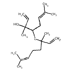 C=CC(C)(CCC=C(C)C)OC(CC=C(C)C)C(C)(O)C=C